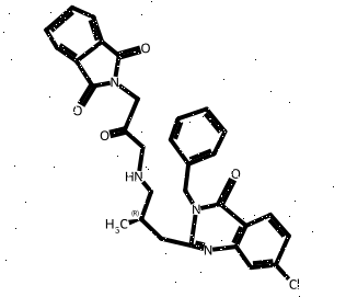 C[C@@H](CNCC(=O)CN1C(=O)c2ccccc2C1=O)Cc1nc2cc(Cl)ccc2c(=O)n1Cc1ccccc1